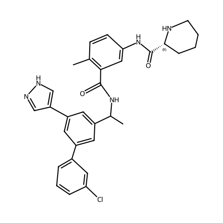 Cc1ccc(NC(=O)[C@H]2CCCCN2)cc1C(=O)NC(C)c1cc(-c2cn[nH]c2)cc(-c2cccc(Cl)c2)c1